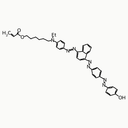 C=CC(=O)OCCCCCCN(CC)c1ccc(N=Nc2ccc(N=Nc3ccc(N=Nc4ccc(O)cc4)cc3)c3ccccc23)cc1